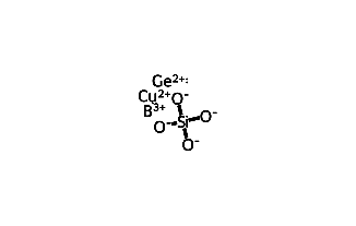 [B+3].[Cu+2].[Ge+2].[O-][Si]([O-])([O-])[O-]